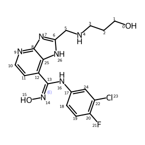 OCCCNCc1nc2nccc(/C(=N\O)Nc3ccc(F)c(Cl)c3)c2[nH]1